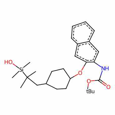 CC(C)(C)OC(=O)Nc1cc2ccccc2cc1OC1CCC(CC(C)(C)[Si](C)(C)O)CC1